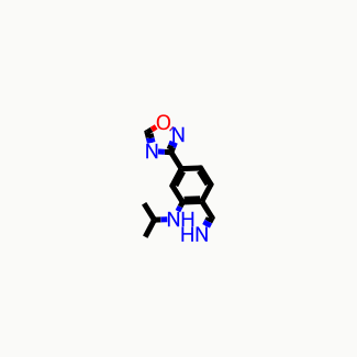 CC(C)Nc1cc(-c2ncon2)ccc1C=N